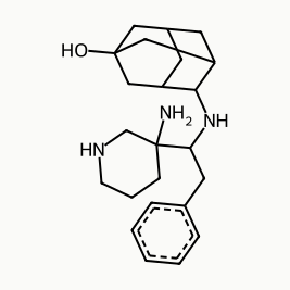 NC1(C(Cc2ccccc2)NC2C3CC4CC2CC(O)(C4)C3)CCCNC1